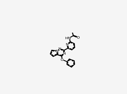 CC(=O)Nc1cccc(-c2nc(Oc3ccccc3)c3cccn3n2)n1